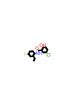 C=Cc1cc(F)ccc1NC(=O)c1cc(Cl)ccc1O